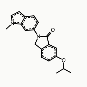 CC(C)Oc1ccc2c(c1)C(=O)N(c1ccc3ccn(C)c3c1)C2